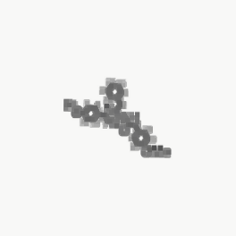 CCOc1ccc(-c2cnc(NC(=O)Cc3ccc(OC)cc3)c(Cc3ccccc3)n2)cc1